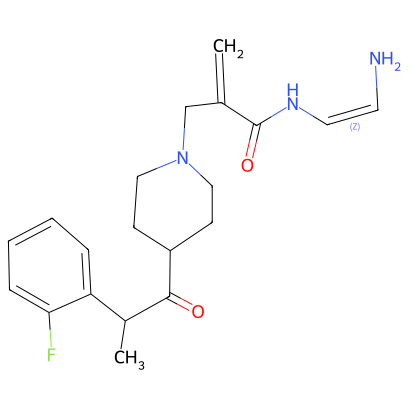 C=C(CN1CCC(C(=O)C(C)c2ccccc2F)CC1)C(=O)N/C=C\N